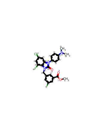 COC(=O)c1cc(F)cc(Cn2c(=O)n(-c3ccc(N(C)C)cc3)c3cc(Cl)cc(F)c32)c1